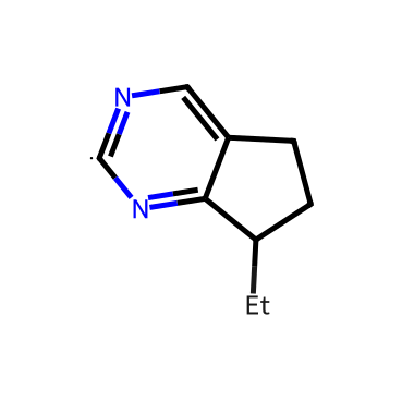 CCC1CCc2cn[c]nc21